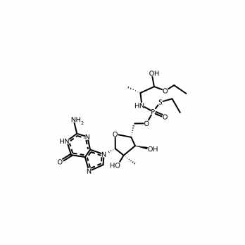 CCOC(O)[C@@H](C)NP(=O)(OC[C@H]1O[C@@H](n2cnc3c(=O)[nH]c(N)nc32)[C@](C)(O)[C@@H]1O)SCC